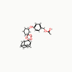 CC(=O)OCc1ccc(OC2CCCC3(C2)OOC2(O3)C3CC4CC(C3)CC2C4)cc1